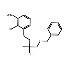 CC(O)(COCc1ccccc1)COc1cccc(C=O)c1Br